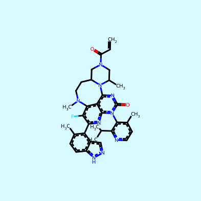 C=CC(=O)N1CC(C)N2c3nc(=O)n(-c4c(C)ccnc4C(C)C)c4nc(-c5c(C)ccc6[nH]ncc56)c(F)c(c34)N(C)CCC2C1